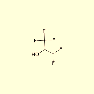 OC(C(F)F)C(F)(F)F